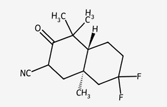 CC1(C)C(=O)C(C#N)C[C@]2(C)CC(F)(F)CC[C@@H]12